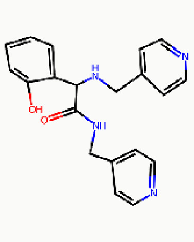 O=C(NCc1ccncc1)C(NCc1ccncc1)c1ccccc1O